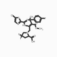 COC(=O)C1=C(CN2CC(F)(F)CC2C(=O)O)NC(c2ncc(Cl)s2)=NC1(C)c1ccc(F)cc1